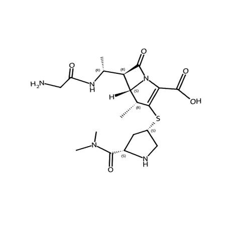 C[C@@H](NC(=O)CN)[C@H]1C(=O)N2C(C(=O)O)=C(S[C@@H]3CN[C@H](C(=O)N(C)C)C3)[C@H](C)[C@H]12